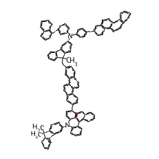 CC1(C)c2ccccc2-c2cc(N(c3ccc(-c4ccc5c(ccc6c7cc(CC8(C)c9ccccc9-c9cc(N(c%10ccc(-c%11ccc%12c(ccc%13c%14ccccc%14ccc%12%13)c%11)cc%10)c%10cccc(-c%11cccc%12ccccc%11%12)c%10)ccc98)ccc7ccc56)c4)cc3)c3ccccc3-c3cccc4ccccc34)ccc21